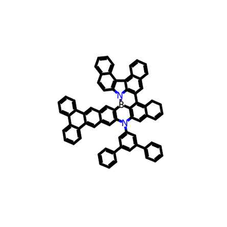 C1=Cc2cc3c4c(c2CC1)-c1cc2ccccc2c2c5c6ccccc6ccc5n(c12)B4c1cc2cc4c5ccccc5c5ccccc5c4cc2cc1N3c1cc(-c2ccccc2)cc(-c2ccccc2)c1